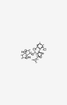 Clc1cccc(Cl)c1-c1noc(C2CC2)c1COC1CO[C@@H]2CCO[C@H]12